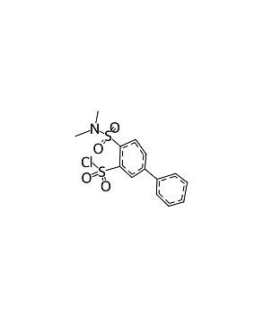 CN(C)S(=O)(=O)c1ccc(-c2ccccc2)cc1S(=O)(=O)Cl